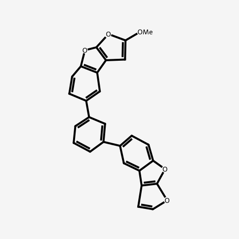 COc1cc2c(o1)oc1ccc(-c3cccc(-c4ccc5oc6occc6c5c4)c3)cc12